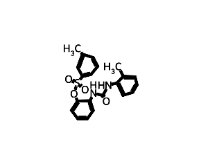 Cc1cccc(S(=O)(=O)Oc2ccccc2NC(=O)Nc2ccccc2C)c1